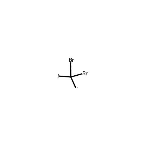 [CH2]C(Br)(Br)I